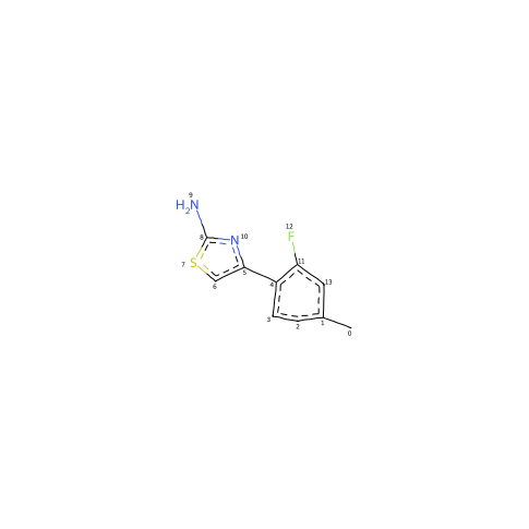 Cc1ccc(-c2csc(N)n2)c(F)c1